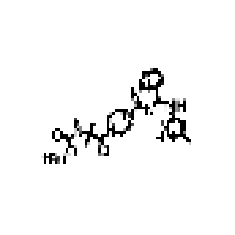 Cc1cc(Nc2nc(N3CCN(C(=O)C(C)(C)N(C)C(=O)OC(C)(C)C)CC3)nn3cccc23)n[nH]1